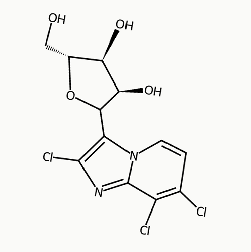 OC[C@H]1OC(c2c(Cl)nc3c(Cl)c(Cl)ccn23)[C@H](O)[C@@H]1O